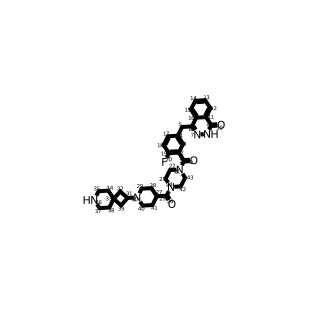 O=C(c1cc(Cc2n[nH]c(=O)c3ccccc23)ccc1F)N1CCN(C(=O)C2CCN(C3CC4(CCNCC4)C3)CC2)CC1